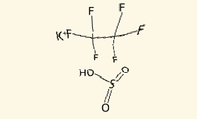 FC(F)(F)C(F)(F)F.O=[S-](=O)O.[K+]